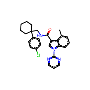 Cc1cccc2c1c(C(=O)NCC1(c3ccc(Cl)cc3)CCCCC1)cn2-c1ncccn1